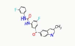 Cc1cnc2ccc(C(=O)c3cc(F)cc(NC(=O)Nc4cccc(F)c4)c3)cc2c1